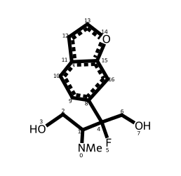 CNC(CO)C(F)(CO)c1ccc2ccoc2c1